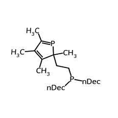 CCCCCCCCCCP(CCCCCCCCCC)CCC1(C)P=C(C)C(C)=C1C